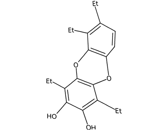 CCc1ccc2c(c1CC)Oc1c(CC)c(O)c(O)c(CC)c1O2